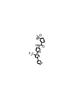 CS(=O)(=O)c1cccc(C(=O)Nc2ccc(-n3nc(-c4cccnc4)cc3C(F)(F)F)nc2)c1